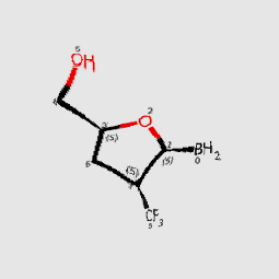 B[C@@H]1O[C@H](CO)C[C@@H]1C(F)(F)F